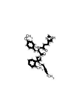 CC#CCOC1(c2ccccc2C)CN(C(=O)[C@@H](Cc2ccc(OC)cc2)NC(=O)CCc2c[nH]cn2)C1